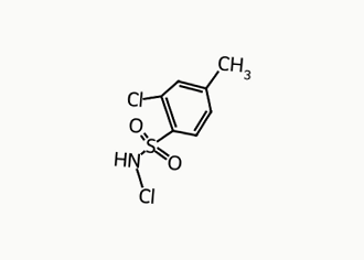 Cc1ccc(S(=O)(=O)NCl)c(Cl)c1